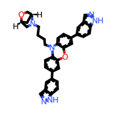 c1cc2c(cc1-c1ccc3[nH]ncc3c1)Oc1cc(-c3ccc4[nH]ncc4c3)ccc1N2CCCCN1C[C@H]2C[C@@H]1CO2